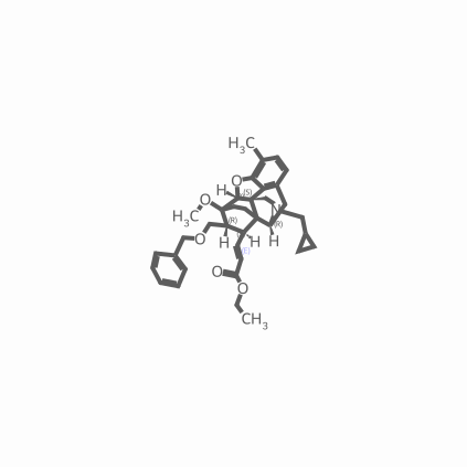 CCOC(=O)/C=C/[C@H]1[C@H](COCc2ccccc2)C2(OC)CCC13[C@H]1Cc4ccc(C)c5c4[C@@]3(CCN1CC1CC1)[C@H]2O5